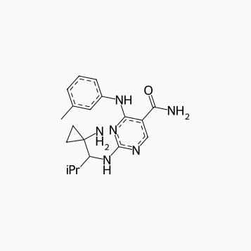 Cc1cccc(Nc2nc(NC(C(C)C)C3(N)CC3)ncc2C(N)=O)c1